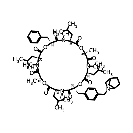 CC(C)C[C@H]1C(=O)O[C@H](Cc2ccc(CN3CC4CCC3C4)cc2)C(=O)N(C)[C@@H](CC(C)C)C(=O)O[C@H](C)C(=O)N(C)[C@@H](CC(C)C)C(=O)O[C@H](Cc2ccccc2)C(=O)N(C)[C@@H](CC(C)C)C(=O)O[C@H](C)C(=O)N1C